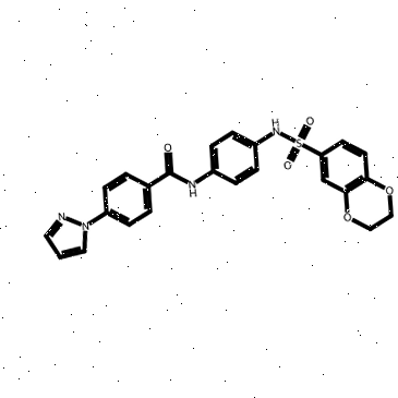 O=C(Nc1ccc(NS(=O)(=O)c2ccc3c(c2)OCCO3)cc1)c1ccc(-n2cccn2)cc1